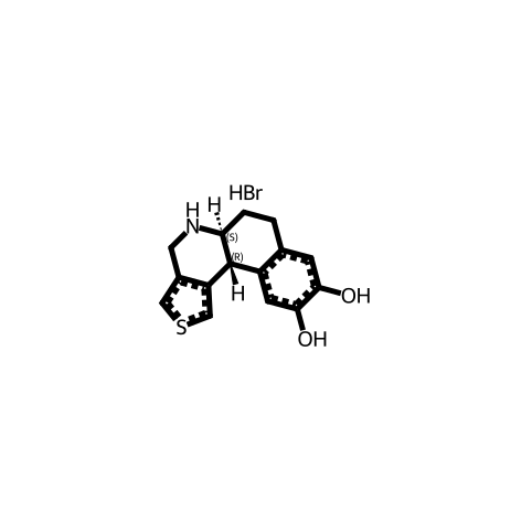 Br.Oc1cc2c(cc1O)[C@@H]1c3cscc3CN[C@H]1CC2